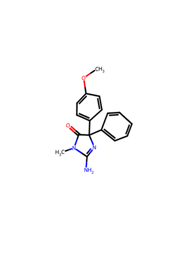 COc1ccc(C2(c3ccccc3)N=C(N)N(C)C2=O)cc1